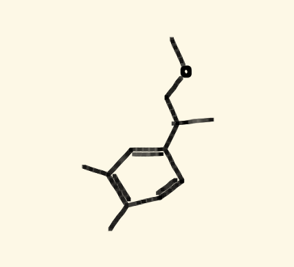 COC[C](C)c1ccc(C)c(C)c1